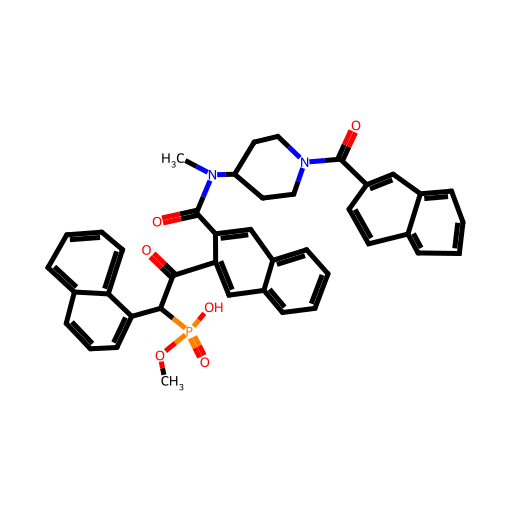 COP(=O)(O)C(C(=O)c1cc2ccccc2cc1C(=O)N(C)C1CCN(C(=O)c2ccc3ccccc3c2)CC1)c1cccc2ccccc12